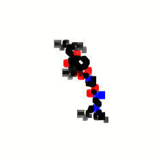 CCN(CC)CCNC(=O)OC1CN(C(=O)O[C@@H]2CC[C@]3(CO3)[C@@H]([C@@]3(C)O[C@@H]3CC=C(C)C)[C@@H]2OC)C1